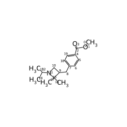 COC(=O)c1ccc(CC2CN(C(C)C)C2(C)C)cc1